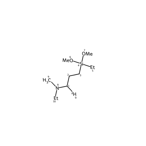 [2H]C(CC[Si](CC)(OC)OC)N(C)CC